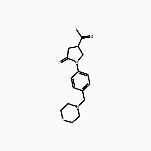 O=C(I)C1CC(=O)N(c2ccc(CN3CCOCC3)cc2)C1